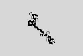 O=C(NCCCCCCc1cn(-c2nccc(Cl)n2)c2ccccc12)NCc1cccnc1